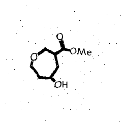 COC(=O)C1COCCC(O)C1